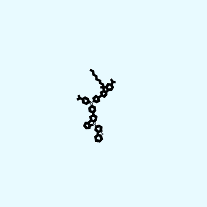 CCCCCCCCC1(C)c2cc(-c3ccc(N(c4ccc(-c5ccc6c(c5)c5ccccc5n6-c5ccc6sc7ccccc7c6c5)cc4)c4ccc(C(C)C)cc4)cc3)ccc2-c2ccc(C(C)C)cc21